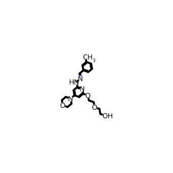 Cc1cccc(/C=N/Nc2cc(N3CCOCC3)cc(OCCOCCO)n2)c1